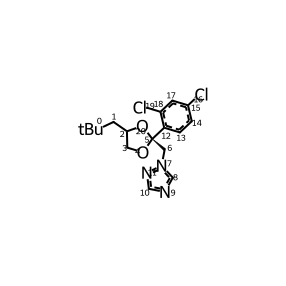 CC(C)(C)CC1CO[C@@](Cn2cncn2)(c2ccc(Cl)cc2Cl)O1